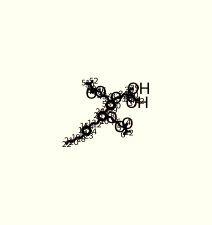 C=C(C)C(=O)OCCOc1cc(CCc2ccc(CCCCC)cc2)ccc1-c1ccc(OCCC(CO)(CO)CCC)c(CCOC2OC2C(=C)C)c1